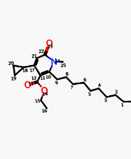 CCCCCCCCCCc1c(C(=O)OCC)c(C2CC2)cc(=O)n1C